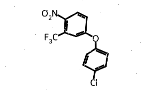 O=[N+]([O-])c1ccc(Oc2ccc(Cl)cc2)cc1C(F)(F)F